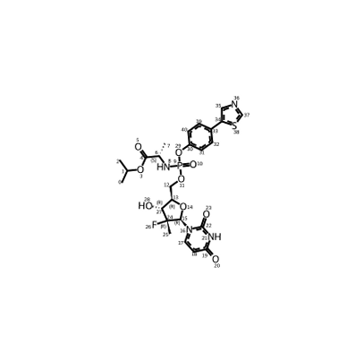 CC(C)OC(=O)[C@H](C)NP(=O)(OC[C@H]1O[C@@H](n2ccc(=O)[nH]c2=O)[C@](C)(F)[C@@H]1O)Oc1ccc(-c2cncs2)cc1